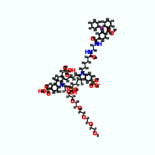 COCCOCCOCCOCCOCCOCC[N+]1=C(/C=C/C=C/C=C2/N(CCCCCC(=O)NCCNC(=O)c3ccc(C(=O)OC)c(P(c4ccccc4)c4ccccc4)c3)c3ccc(S(=O)(=O)[O-])cc3C2(C)CCCS(=O)(=O)O)C(C)(CCCS(=O)(=O)O)c2cc(S(=O)(=O)O)ccc21